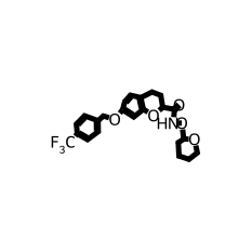 O=C(NOC1CCCCO1)C1CCc2ccc(OCc3ccc(C(F)(F)F)cc3)cc2O1